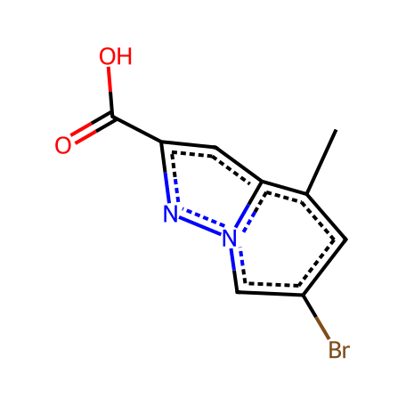 Cc1cc(Br)cn2nc(C(=O)O)cc12